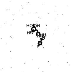 CC(O)C1(O)CCN(O)CC(Cc2ccnc(Nc3ncc(-c4ccc(F)cc4)s3)c2)C1